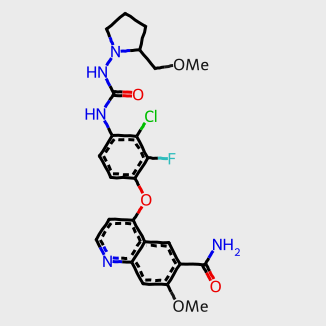 COCC1CCCN1NC(=O)Nc1ccc(Oc2ccnc3cc(OC)c(C(N)=O)cc23)c(F)c1Cl